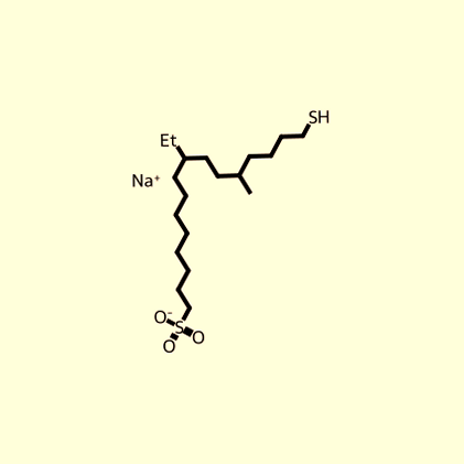 CCC(CCCCCCCCS(=O)(=O)[O-])CCC(C)CCCCS.[Na+]